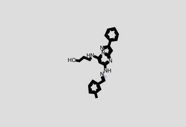 Cc1cccc(/C=N/Nc2cc(NCCCO)n3nc(-c4ccccc4)cc3n2)c1